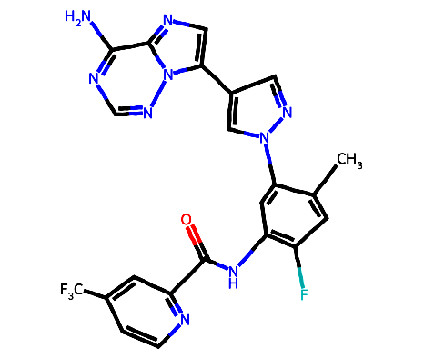 Cc1cc(F)c(NC(=O)c2cc(C(F)(F)F)ccn2)cc1-n1cc(-c2cnc3c(N)ncnn23)cn1